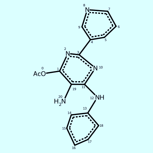 CC(=O)Oc1nc(-c2cccnc2)nc(Nc2ccccc2)c1N